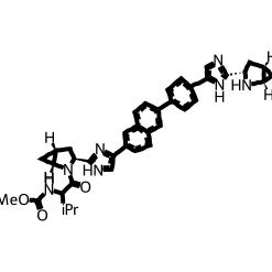 COC(=O)NC(C(=O)N1[C@@H]2C[C@@H]2C[C@H]1c1nc(-c2ccc3cc(-c4ccc(-c5cnc([C@@H]6C[C@H]7C[C@H]7N6)[nH]5)cc4)ccc3c2)c[nH]1)C(C)C